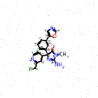 CN1C(=O)C(c2ccnc(CF)c2)(c2cc(-c3cnco3)ccc2F)N=C1N